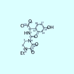 CCN1CCN(C(=O)NC(C(=O)Cl)c2ccc(O)cc2)C(=O)C1=O